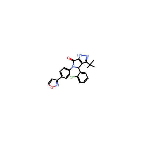 CC(C)(C)c1n[nH]c2c1C(c1ccccc1Cl)N(c1ccc(-c3ccon3)cc1)C2=O